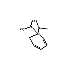 CN(C)[N+]1(B(O)O)C=NC=CC1